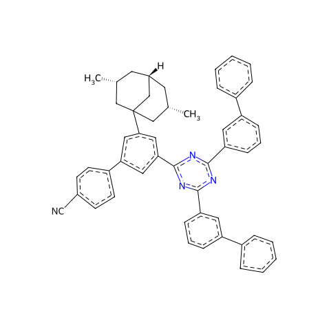 C[C@@H]1C[C@@H]2C[C@H](C)CC(c3cc(-c4ccc(C#N)cc4)cc(-c4nc(-c5cccc(-c6ccccc6)c5)nc(-c5cccc(-c6ccccc6)c5)n4)c3)(C1)C2